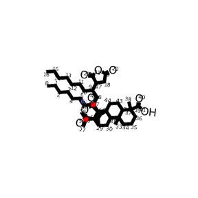 CCCCC/C=C/C(CC(CCCCCCC)C1CC(=O)OC1=O)C1C(C(C)C)C2CC3C4(C)CCCC(C)(C(=O)O)C4CCC13C1C(=O)OC(=O)C21